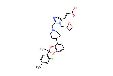 Cc1ccc(C2(C)Oc3cccc(C4CCN(Cc5ncc(/C=C/C(=O)O)n5CC5CCO5)CC4)c3O2)c(F)c1